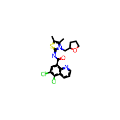 Cc1sc(=NC(=O)c2cc(Cl)c(Cl)c3cccnc23)n(CC2CCCO2)c1C